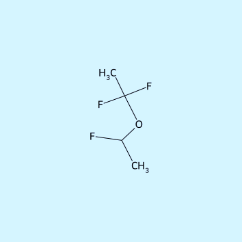 CC(F)OC(C)(F)F